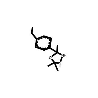 CCc1ccc(C2(C)NNC(C)(C)O2)cc1